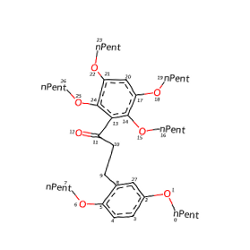 CCCCCOc1ccc(OCCCCC)c(CCC(=O)c2c(OCCCCC)c(OCCCCC)cc(OCCCCC)c2OCCCCC)c1